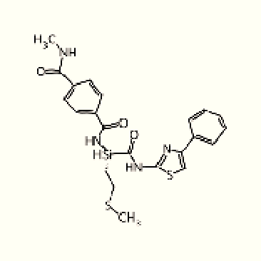 CNC(=O)c1ccc(C(=O)N[Si@@H](CCSC)C(=O)Nc2nc(-c3ccccc3)cs2)cc1